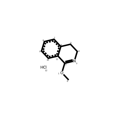 COC1=NCCc2ccccc21.Cl